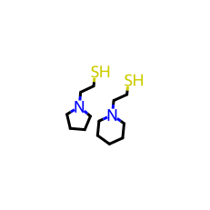 SCCN1CCCC1.SCCN1CCCCC1